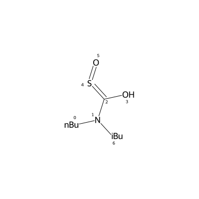 CCCCN(C(O)=S=O)C(C)CC